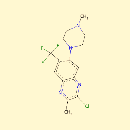 Cc1nc2cc(C(F)(F)F)c(N3CCN(C)CC3)cc2nc1Cl